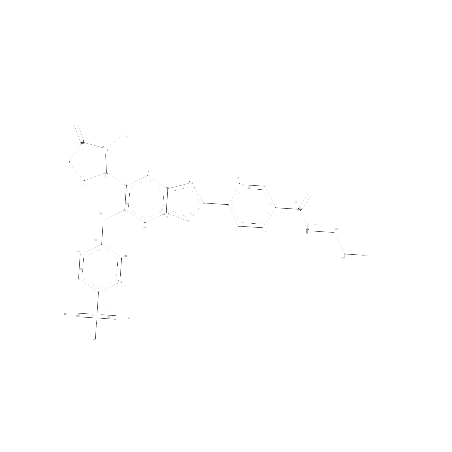 CN1C(=O)CCC1c1cc2[nH]c(-c3ccc(C(=O)NCCC(=O)O)cn3)cc2cc1Oc1ccc(S(C)(=O)=O)nc1